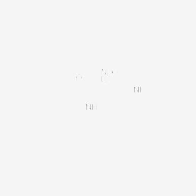 CC(C)CN[C@@H](CC(N)=O)C(N)=O